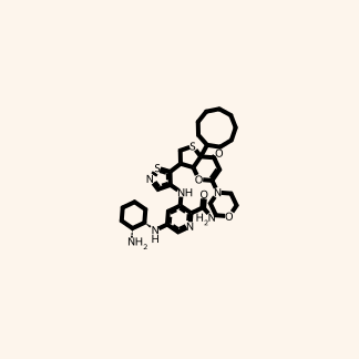 NC(=O)c1ncc(N[C@H]2CCCC[C@H]2N)cc1Nc1cnsc1C1CSC2(C3CCCCCCCC3)C(=O)C=C(N3CCOCC3)OC12